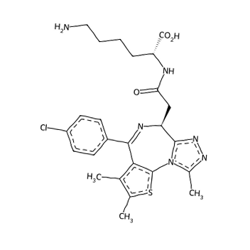 Cc1sc2c(c1C)C(c1ccc(Cl)cc1)=N[C@@H](CC(=O)N[C@H](CCCCN)C(=O)O)c1nnc(C)n1-2